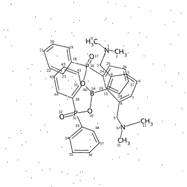 CN(C)Cc1cccc(CN(C)C)c1B(OP(=O)(c1ccccc1)c1ccccc1)OP(=O)(c1ccccc1)c1ccccc1